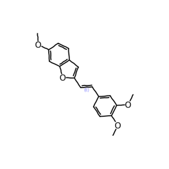 COc1ccc2cc(/C=C/c3ccc(OC)c(OC)c3)oc2c1